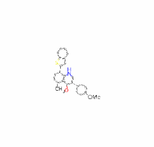 COc1ccc(-c2c[nH]c3c(-c4cc5ccccc5s4)ccc(C)c3c2=O)cc1